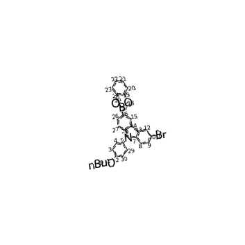 CCCCOc1ccc(-n2c3ccc(Br)cc3c3cc(B4Oc5ccccc5O4)ccc32)cc1